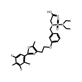 CCN(CC)S(=O)(=O)N(CC(=O)O)Cc1cccc(OCCc2nc(-c3cc(F)c(C)c(F)c3F)oc2C)c1